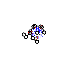 N#Cc1c(C#N)c(-n2c3cccc(-c4cccc5ccccc45)c3c3ccc4c5ccccc5sc4c32)c(-n2c3ccccc3c3ccccc32)c(-n2c3ccccc3c3ccccc32)c1-n1c2ccccc2c2ccccc21